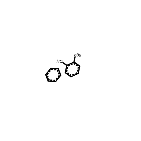 CCCCc1ccccc1O.c1ccccc1